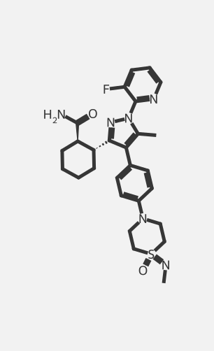 CN=S1(=O)CCN(c2ccc(-c3c([C@@H]4CCCC[C@H]4C(N)=O)nn(-c4ncccc4F)c3C)cc2)CC1